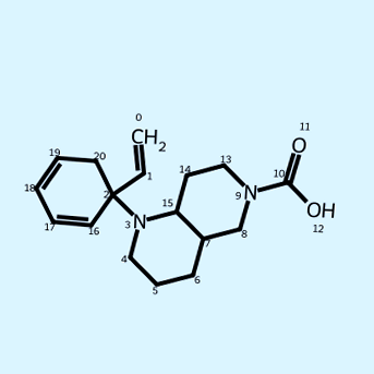 C=CC1(N2CCCC3CN(C(=O)O)CCC32)C=CC=CC1